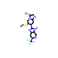 CCSc1cn2c(Br)cnc2cc1-c1nc2cc(C(F)(F)F)ncc2n1C